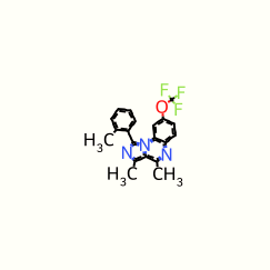 Cc1ccccc1-c1nc(C)c2c(C)nc3ccc(OC(F)(F)F)cc3n12